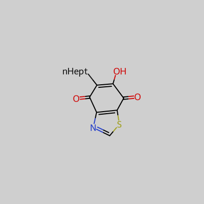 CCCCCCCC1=C(O)C(=O)c2scnc2C1=O